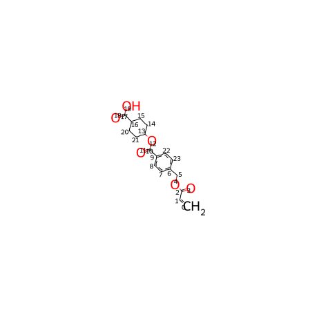 C=CC(=O)OCc1ccc(C(=O)OC2CCC(C(=O)O)CC2)cc1